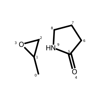 CC1CO1.O=C1CCCN1